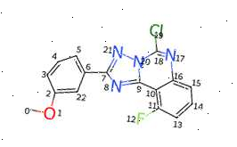 COc1cccc(-c2nc3c4c(F)cccc4nc(Cl)n3n2)c1